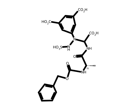 C[C@H](NC(=O)OCc1ccccc1)C(=O)NC(C(=O)O)N(NS(=O)(=O)O)c1cc(C(=O)O)cc(C(=O)O)c1